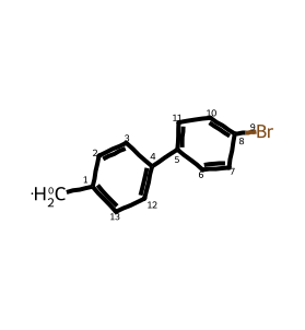 [CH2]c1ccc(-c2ccc(Br)cc2)cc1